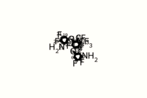 Nc1c(F)c(F)cc(OC2=CC(F)(C(F)(F)F)C(C(F)(F)F)=C(Oc3cc(F)c(F)c(N)c3F)C2)c1F